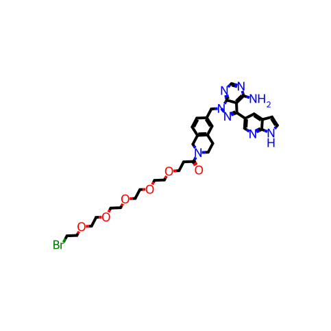 Nc1ncnc2c1c(-c1cnc3[nH]ccc3c1)nn2Cc1ccc2c(c1)CCN(C(=O)CCOCCOCCOCCOCCOCCBr)C2